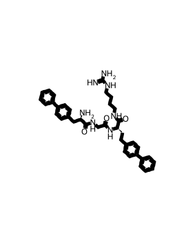 N=C(N)NCCCCNC(=O)[C@H](CCc1ccc(-c2ccccc2)cc1)NC(=O)CNC(=O)[C@@H](N)Cc1ccc(-c2ccccc2)cc1